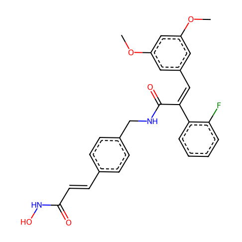 COc1cc(C=C(C(=O)NCc2ccc(C=CC(=O)NO)cc2)c2ccccc2F)cc(OC)c1